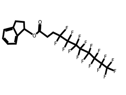 O=C(CCC(F)(F)C(F)(F)C(F)(F)C(F)(F)C(F)(F)C(F)(F)C(F)(F)C(F)(F)F)OC1CCc2ccccc21